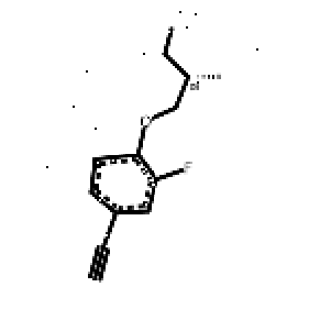 C#Cc1ccc(OC[C@@H](C)CC)c(F)c1